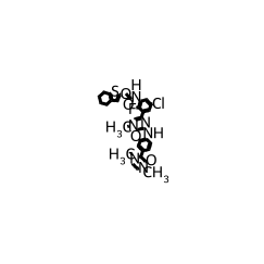 CN1CCN(C)C(c2ccc(Nc3nc(-c4cc(Cl)cc(NC(=O)Oc5cc6c(s5)CCCC6)c4F)cn(C)c3=O)cc2)C1=O